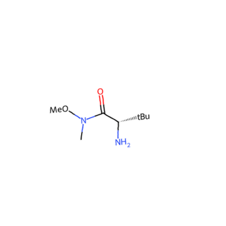 CON(C)C(=O)[C@@H](N)C(C)(C)C